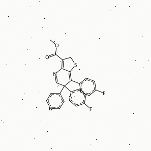 COC(=O)C1=C2N=CC(c3ccncc3)(c3ccc(F)cc3)C(c3ccc(F)cc3)=C2SC1